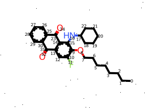 CCCCCCCCOc1c(F)cc2c(c1NC1CCCCC1)C(=O)c1ccccc1C2=O